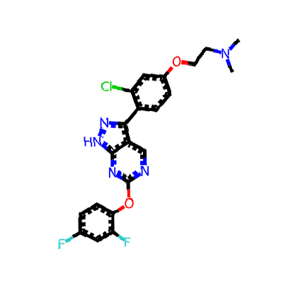 CN(C)CCOc1ccc(-c2n[nH]c3nc(Oc4ccc(F)cc4F)ncc23)c(Cl)c1